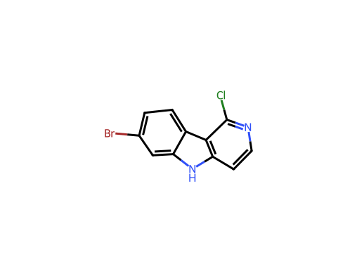 Clc1nccc2[nH]c3cc(Br)ccc3c12